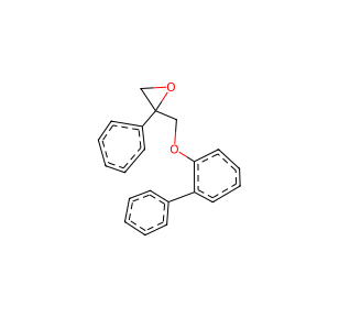 c1ccc(-c2ccccc2OCC2(c3ccccc3)CO2)cc1